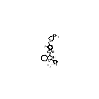 CN1CCN(Cc2ccc3[nH]c(C(NC(=O)c4ccnn4C)C4CCCCCCC4)nc3c2F)CC1